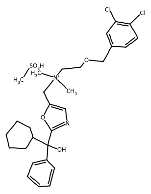 CS(=O)(=O)O.C[N+](C)(CCOCc1ccc(Cl)c(Cl)c1)Cc1cnc(C(O)(c2ccccc2)C2CCCCC2)o1